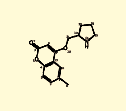 Cc1ccc2oc(=O)cc(OCC3CCCN3)c2c1